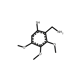 COc1cc(S)c(CN)c(OC)c1OC